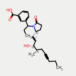 CCCC#CC[C@H](C)[C@H](O)/C=C/[C@H]1CCC(=O)N1C(CC)c1cccc(C(=O)O)c1